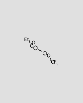 CCC=CC(=O)Oc1ccc(C#Cc2ccc(OCCCC(F)(F)F)cc2)cc1